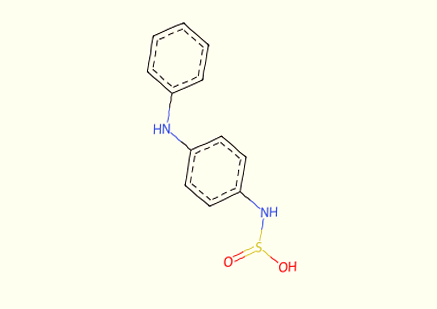 O=S(O)Nc1ccc(Nc2ccccc2)cc1